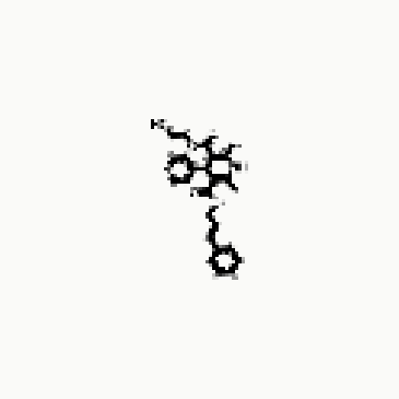 CC1=C(C(=O)OCC=Cc2ccccc2)C(c2ccncc2)C(C(=O)OCCC#N)=C(C)N1